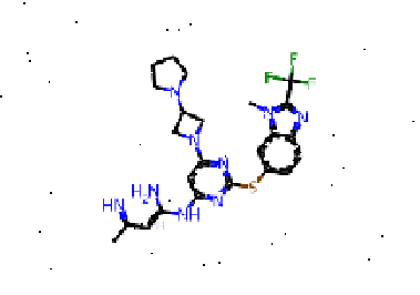 CC(=N)/C=C(\N)Nc1cc(N2CC(N3CCCC3)C2)nc(Sc2ccc3nc(C(F)(F)F)n(C)c3c2)n1